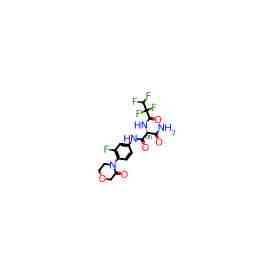 NC(=O)[C@@H](NC(=O)C(F)(F)C(F)F)C(=O)Nc1ccc(N2CCOCC2=O)c(F)c1